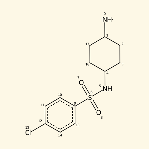 [NH]C1CCC(NS(=O)(=O)c2ccc(Cl)cc2)CC1